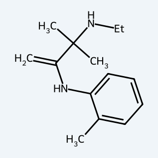 C=C(Nc1ccccc1C)C(C)(C)NCC